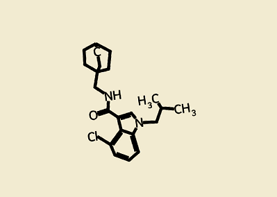 CC(C)Cn1cc(C(=O)NCC23CCC(CC2)CC3)c2c(Cl)cccc21